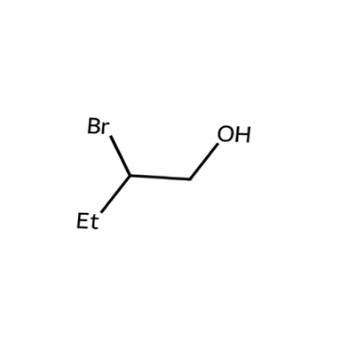 CCC(Br)CO